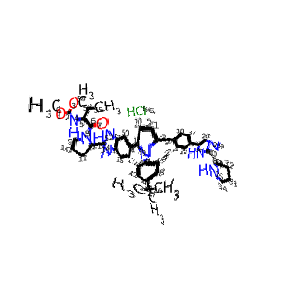 COC(=O)NC(C(=O)N1CCCC1c1nc2ccc(C3CCC(c4ccc(-c5cnc([C@@H]6CCCN6)[nH]5)cc4)N3c3ccc(C(C)(C)C)cc3)cc2[nH]1)C(C)C.Cl